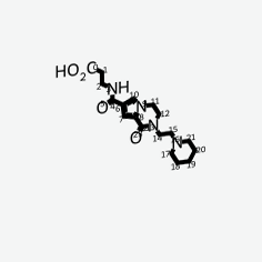 O=C(O)CCNC(=O)c1cc2n(c1)CCN(CCN1CCCCC1)C2=O